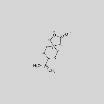 C=C(C)C1CCC2(CC1)COC(=O)C2